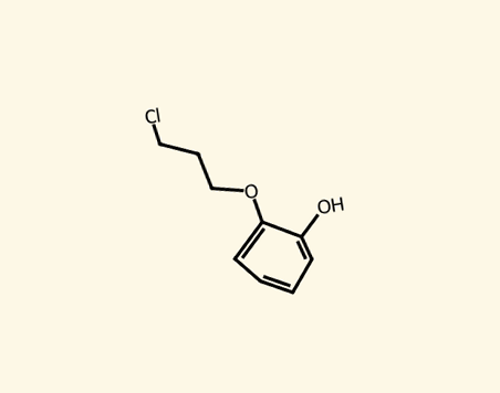 Oc1ccccc1OCCCCl